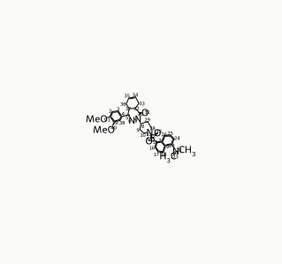 COc1ccc(C2=NN(C3CCN(S(=O)(=O)c4cccc5c(N(C)C)cccc45)CC3)C(=O)C3CC=CCC23)cc1OC